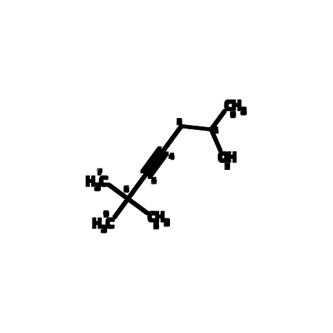 CC(O)CC#CC(C)(C)C